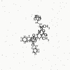 Cc1cc(NC(=O)[C@H](Cc2ccccc2)NC(=O)OCc2ccccc2)cc2nc(N(C)CCCC(=O)OC(C)(C)C)oc(=O)c12